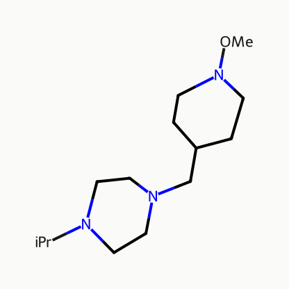 CON1CCC(CN2CCN(C(C)C)CC2)CC1